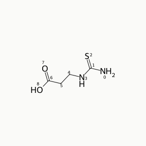 NC(=S)NCCC(=O)O